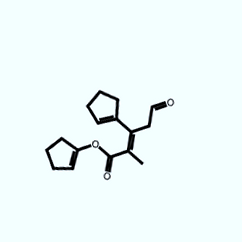 CC(C(=O)OC1=CCCC1)=C(CC=O)C1=CCCC1